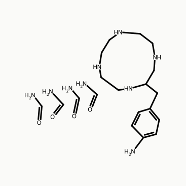 NC=O.NC=O.NC=O.NC=O.Nc1ccc(CC2CNCCNCCNCCN2)cc1